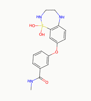 CNC(=O)c1cccc(Oc2ccc3c(c2)S(O)(O)NCCN3)c1